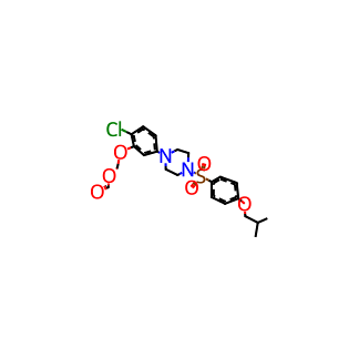 CC(C)COc1ccc(S(=O)(=O)N2CCN(c3ccc(Cl)c(OCOC=O)c3)CC2)cc1